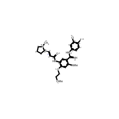 CNc1cc(OCCOC)c(NC(=O)/C=C/[C@H]2CCCN2C)cc1C(=N)Nc1ccc(F)c(Cl)c1